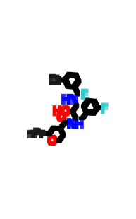 CCCC1CC(C(=O)N[C@@H](Cc2cc(F)cc(F)c2)[C@@H](O)CNCc2cccc(CC)c2)CCO1